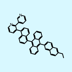 CCc1ccc2cc(-c3c4ccccc4c(-c4cccc5c(-c6cccnc6-c6cccnc6)cccc45)c4ccccc34)ccc2c1